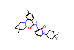 Cc1ccc(C(=O)Nc2cccn(C3CCC(F)(F)CC3)c2=O)c(N2CCC3(C)CC3C2)c1